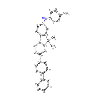 Cc1ccc(Nc2ccc3c(c2)C(C)(C)c2cc(-c4ccc(-c5ccccc5)cc4)ccc2-3)cc1